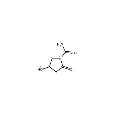 NC(=O)N1CC(O)CC1=O